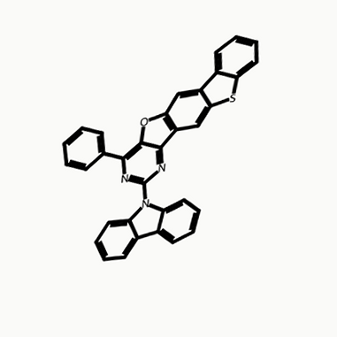 c1ccc(-c2nc(-n3c4ccccc4c4ccccc43)nc3c2oc2cc4c(cc23)sc2ccccc24)cc1